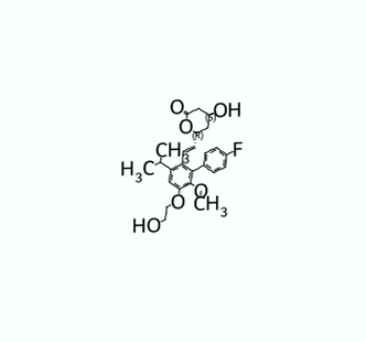 COc1c(OCCO)cc(C(C)C)c(C=C[C@H]2C[C@H](O)CC(=O)O2)c1-c1ccc(F)cc1